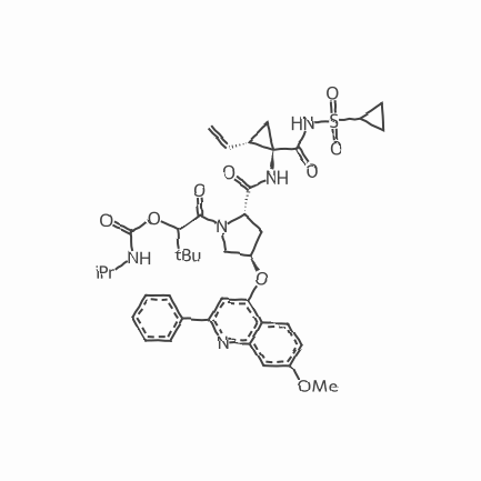 C=C[C@@H]1C[C@]1(NC(=O)[C@@H]1C[C@@H](Oc2cc(-c3ccccc3)nc3cc(OC)ccc23)CN1C(=O)C(OC(=O)NC(C)C)C(C)(C)C)C(=O)NS(=O)(=O)C1CC1